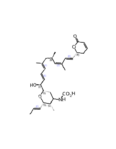 C/C=C/[C@@H]1O[C@H]([C@@H](O)/C=C/C=C(\C)C[C@@H](C)/C=C(C)\C=C\[C@H]2CC=CC(=O)O2)CC(NC(=O)O)[C@@H]1C